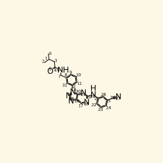 CC(C)CC(=O)NCc1cccc(-n2nnc3cnc(Nc4cccc(C#N)c4)nc32)c1